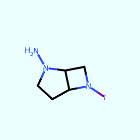 NN1CCC2C1CN2I